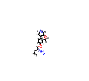 CC(C)C[C@H](N)COc1ccc2c(c1)C(C)(C)Oc1cnccc1-2